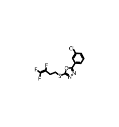 FC(F)=C(F)CCSc1nnc(-c2cccc(Cl)c2)o1